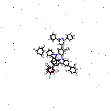 Cc1cc(C)c(-c2ccc3c(c2)c2cc(-c4c(C)cc(C)cc4C)ccc2n3-c2cc(C#N)c(-c3cc(-c4ccccc4)nc(-c4ccccc4)c3)cc2-n2c3ccc(-c4c(C)cc(C)cc4C)cc3c3cc(-c4c(C)cc(C)cc4C)ccc32)c(C)c1